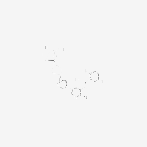 CC(Oc1cc(-c2cnn(C3CCN(C(=O)OC(C)(C)C)CC3)c2)cnc1N)c1cc(F)ccc1Cl